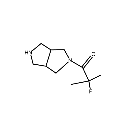 CC(C)(F)C(=O)N1CC2CNCC2C1